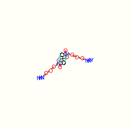 [N-]=[N+]=NCCOCCOCCOCCN1C(=O)c2cccc(C(c3cccc4c3C(=O)N(CCOCCOCCOCCN=[N+]=[N-])C4=O)(C(F)(F)F)C(F)(F)F)c2C1=O